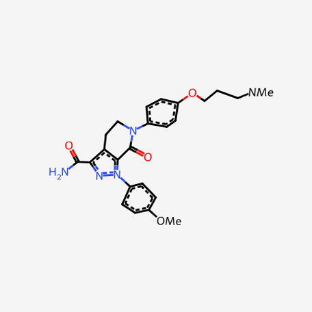 CNCCCOc1ccc(N2CCc3c(C(N)=O)nn(-c4ccc(OC)cc4)c3C2=O)cc1